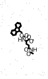 COC(=O)C(CCC(=O)NC(C)=O)NC(=O)OCC1c2ccccc2-c2ccccc21